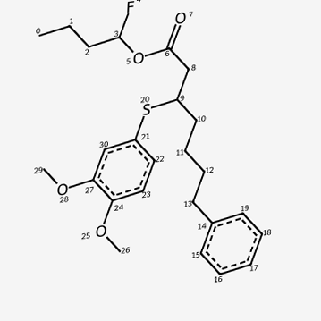 CCCC(F)OC(=O)CC(CCCCc1ccccc1)Sc1ccc(OC)c(OC)c1